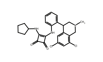 CN1Cc2c(Cl)cc(Cl)cc2C(c2ccccc2Nc2c(NC3CCCC3)c(=O)c2=O)C1